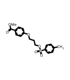 COC(=O)c1ccc(OCCCOS(=O)(=O)c2ccc(C)cc2)cc1